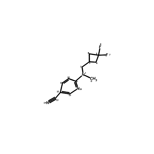 CN(CC1CC(F)(F)C1)c1ccc(C#N)cn1